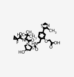 Cc1ncsc1-c1ccc(CNC(=O)[C@@H]2C[C@@H](O)CN2C(=O)[C@@H](NC(=O)C2(F)CC2)C(C)(C)C)c(OCC(=O)O)c1